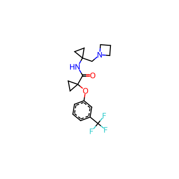 O=C(NC1(CN2CCC2)CC1)C1(Oc2cccc(C(F)(F)F)c2)CC1